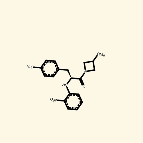 COC1CN(C(=O)[C@H](Cc2ccc(C)cc2)Nc2ccccc2[N+](=O)[O-])C1